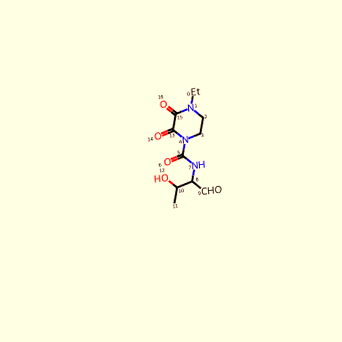 CCN1CCN(C(=O)NC(C=O)C(C)O)C(=O)C1=O